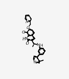 Cc1cnccc1-c1cccc(N[C@@H](C)c2cc3ccc(OCc4ccccn4)c(Cl)c3[nH]c2=O)c1